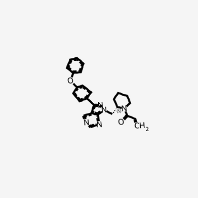 C=CC(=O)N1CCCC[C@H]1Cn1nc(-c2ccc(Oc3ccccc3)cc2)c2cncnc21